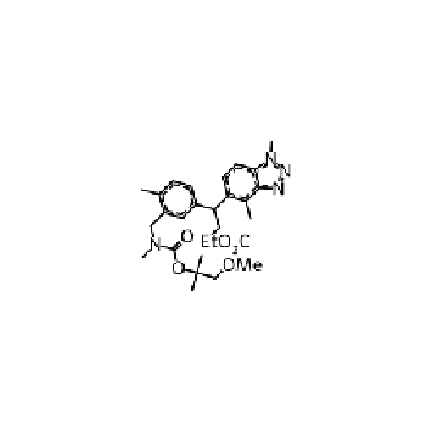 CCOC(=O)CC(c1ccc(C)c(CN(C)C(=O)OC(C)(C)COC)c1)c1ccc2c(nnn2C)c1C